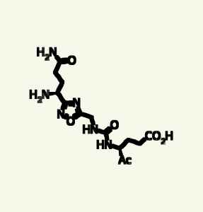 CC(=O)[C@H](CCC(=O)O)NC(=O)NCc1nc([C@@H](N)CCC(N)=O)no1